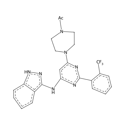 CC(=O)N1CCN(c2cc(Nc3n[nH]c4ccccc34)nc(-c3ccccc3C(F)(F)F)n2)CC1